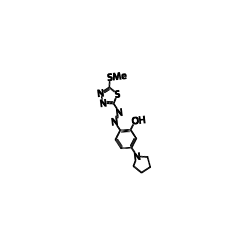 CSc1nnc(/N=N/c2ccc(N3CCCC3)cc2O)s1